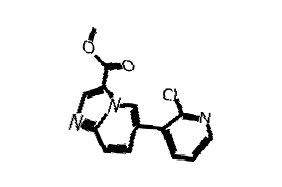 COC(=O)c1cnc2ccc(-c3cccnc3Cl)cn12